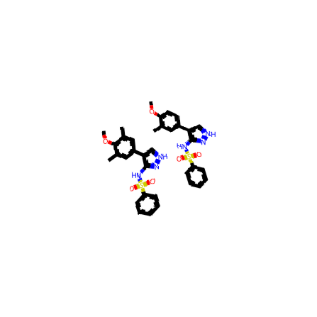 COc1c(C)cc(-c2c[nH]nc2NS(=O)(=O)c2ccccc2)cc1C.COc1ccc(-c2c[nH]nc2NS(=O)(=O)c2ccccc2)cc1C